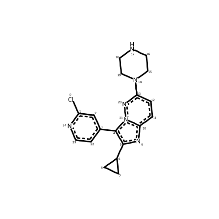 Clc1cc(-c2c(C3CC3)nc3ccc(N4CCNCC4)nn23)ccn1